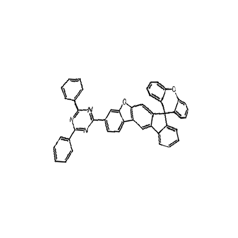 c1ccc(-c2nc(-c3ccccc3)nc(-c3ccc4c(c3)oc3cc5c(cc34)-c3ccccc3C53c4ccccc4Oc4ccccc43)n2)cc1